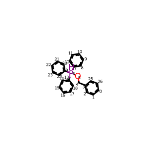 c1ccc(CO[PH](c2ccccc2)(c2ccccc2)c2ccccc2)cc1